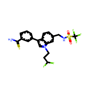 NC(=S)c1cccc(-c2cn(CCC(F)F)c3cc(CNS(=O)(=O)C(F)(F)F)ccc23)c1